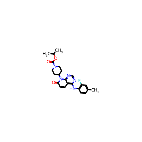 Cc1ccc(Nc2ncnc3c2ccc(=O)n3C2CCN(C(=O)OC(C)C)CC2)c(F)c1